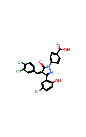 O=C(O)c1ccc(N2N=C(c3cc(Br)ccc3O)C(=Cc3ccc(Cl)c(Cl)c3)C2=O)cc1